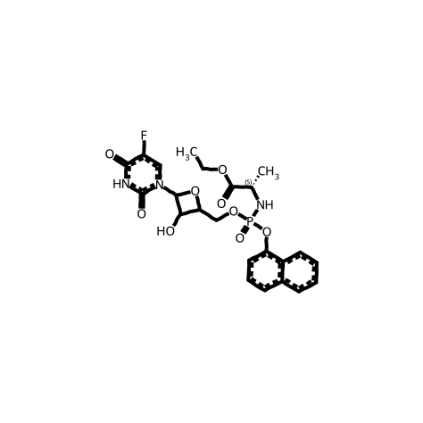 CCOC(=O)[C@H](C)NP(=O)(OCC1OC(n2cc(F)c(=O)[nH]c2=O)C1O)Oc1cccc2ccccc12